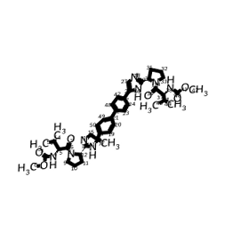 COC(=O)N[C@H](C(=O)N1CCC[C@H]1C1=NCC(C)(c2ccc(-c3ccc(-c4cnc([C@@H]5CCCN5C(=O)[C@@H](NC(=O)OC)C(C)C)[nH]4)cc3)cc2)N1)C(C)C